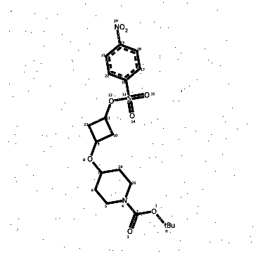 CC(C)(C)OC(=O)N1CCC(OC2CC(OS(=O)(=O)c3ccc([N+](=O)[O-])cc3)C2)CC1